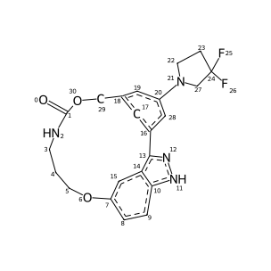 O=C1NCCCOc2ccc3[nH]nc(c3c2)-c2cc(cc(N3CCC(F)(F)C3)c2)CO1